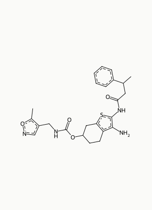 Cc1oncc1CNC(=O)OC1CCc2c(sc(NC(=O)CC(C)c3ccccc3)c2N)C1